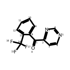 O=C(c1ccncn1)c1ccccc1C(F)(F)F